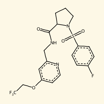 O=C(NCc1cc(OCC(F)(F)F)ccn1)C1CCCN1S(=O)(=O)c1ccc(F)cc1